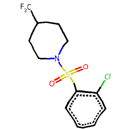 O=S(=O)(c1ccccc1Cl)N1CCC(C(F)(F)F)CC1